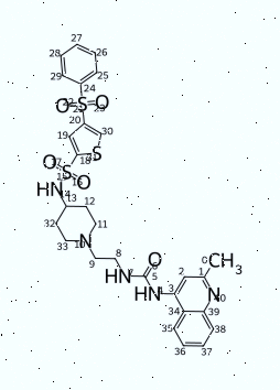 Cc1cc(NC(=O)NCCN2CCC(NS(=O)(=O)c3cc(S(=O)(=O)c4ccccc4)cs3)CC2)c2ccccc2n1